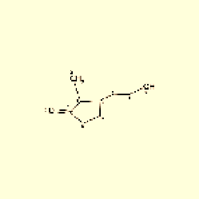 CC1C(=O)CCC1CCO